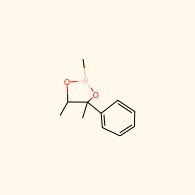 CB1OC(C)C(C)(c2ccccc2)O1